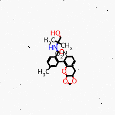 Cc1ccc(C(=O)NC(C)(C)CO)c(C2=C3OC4OCOC4CC3=CCC2[N+](=O)[O-])c1